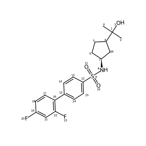 CC(C)(O)C1CC[C@H](NS(=O)(=O)c2ccc(-c3ccc(F)cc3F)cc2)C1